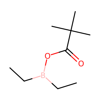 CCB(CC)OC(=O)C(C)(C)C